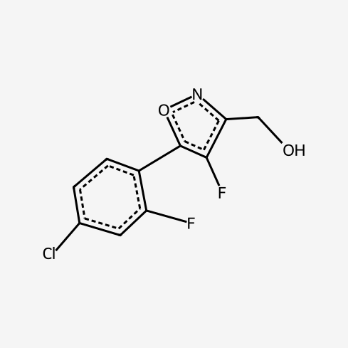 OCc1noc(-c2ccc(Cl)cc2F)c1F